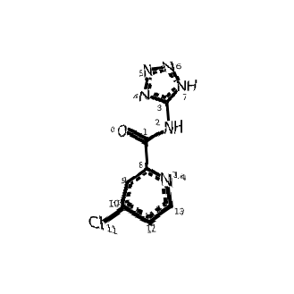 O=C(Nc1nnn[nH]1)c1cc(Cl)ccn1